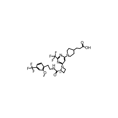 COc1cc(C(F)(F)F)ccc1CCNC(=O)[C@@H]1CCN1c1cc(N2CCC(CCC(=O)O)CC2)nc(C(F)(F)F)n1